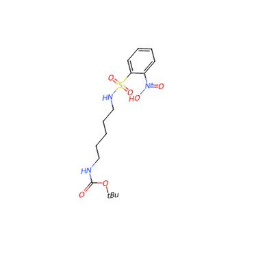 CC(C)(C)OC(=O)NCCCCCNS(=O)(=O)c1ccccc1[N+](=O)O